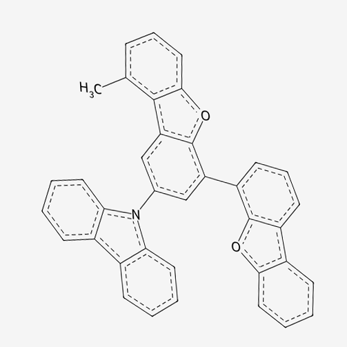 Cc1cccc2oc3c(-c4cccc5c4oc4ccccc45)cc(-n4c5ccccc5c5ccccc54)cc3c12